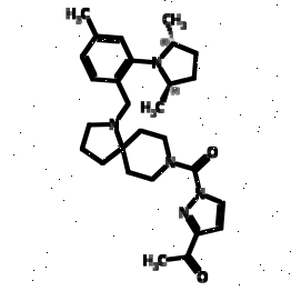 CC(=O)c1ccn(C(=O)N2CCC3(CCCN3Cc3ccc(C)cc3N3[C@H](C)CC[C@H]3C)CC2)n1